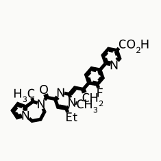 C=C(/C=C1/N=C(C(=O)N2CCCn3cccc3C2C)C=C(CC)N1C)c1ccc(-c2ccc(C(=O)O)cn2)cc1F